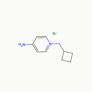 Nc1cc[n+](CC2CCC2)cc1.[Br-]